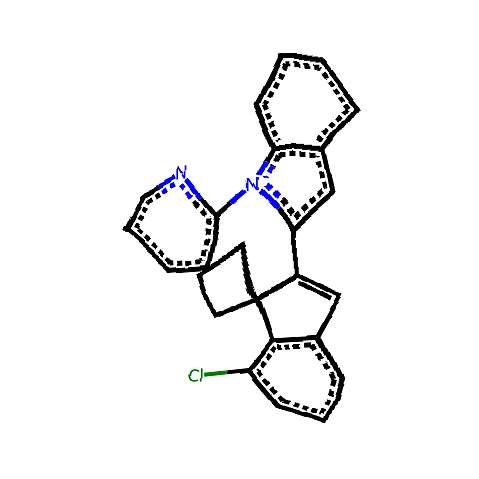 Clc1cccc2c1C1(CCC1)C(c1cc3ccccc3n1-c1ccccn1)=C2